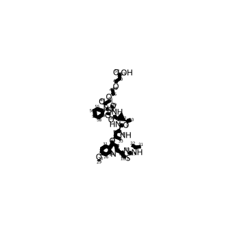 C=C[C@@H]1C[C@]1(NC(=O)[C@@H]1C[C@@H](Oc2cc(-c3csc(NC(C)C)n3)nc3cc(OC)ccc23)CN1)C(=O)NS(=O)(=O)N(C(=O)COCCOCCC(=O)O)c1ccccc1